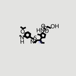 C/C=C(\C1=C(C)[C@@H](NS(=O)(=O)CCO)CC1)c1cnc(-c2ccc(OC(C)C)c(NC)c2)s1